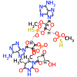 CO[C@@H]1[C@H](OP(=O)(O)O[C@H]2C[C@H](n3cc(C)c(=O)[nH]c3=O)O[C@@H]2CO)[C@@H](COP(=O)(S)O[C@H]2[C@@H](OC)[C@H](n3cnc4c(N)ncnc43)O[C@@H]2COP(=O)(S)OC)O[C@H]1n1cnc2c(N)ncnc21